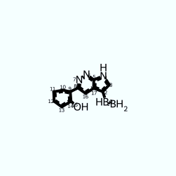 BBc1c[nH]c2nnc(-c3ccccc3O)cc12